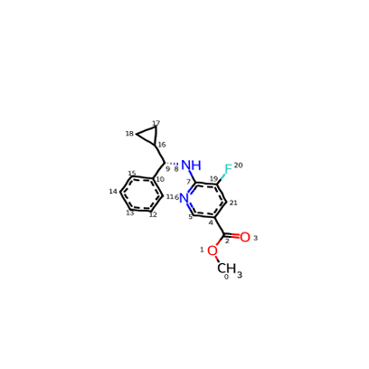 COC(=O)c1cnc(N[C@H](c2ccccc2)C2CC2)c(F)c1